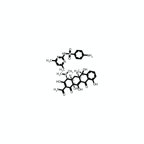 CN(C)[C@@H]1C(O)=C(C(N)=O)C(=O)[C@@]2(O)C(O)=C3C(=O)c4c(O)cccc4[C@@](C)(O)[C@H]3C[C@@H]12.Cc1cc(C)nc(NS(=O)(=O)c2ccc(N)cc2)n1